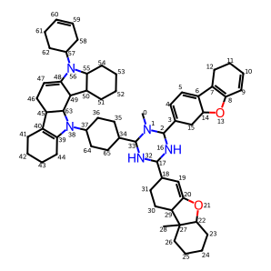 CN1C(C2=CC=C3C4=C(C=CCC4)OC3C2)NC(C2C=C3OC4CCCCC4(C)C3CC2)NC1C1CCC(N2C3=C(CCCC3)C3CC=C4C(C5CCCCC5N4C4CC=CCC4)C32)CC1